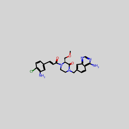 COC[C@H]1C(=O)N(Cc2ccc3c(N)ncnc3c2)CCN1C(=O)C=Cc1ccc(Cl)c(N)c1